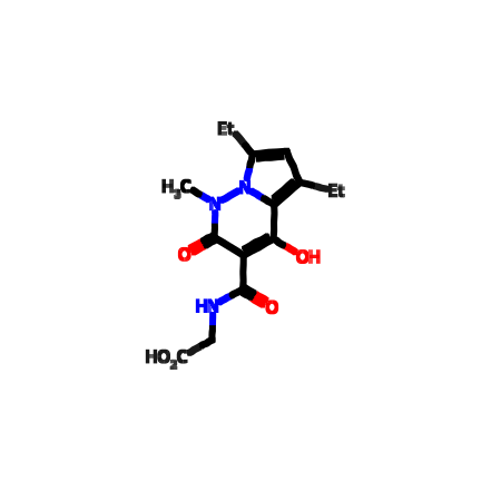 CCc1cc(CC)n2c1c(O)c(C(=O)NCC(=O)O)c(=O)n2C